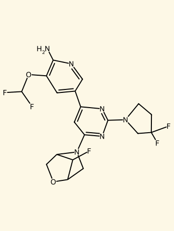 Nc1ncc(-c2cc(N3CC4OCC3C4F)nc(N3CCC(F)(F)C3)n2)cc1OC(F)F